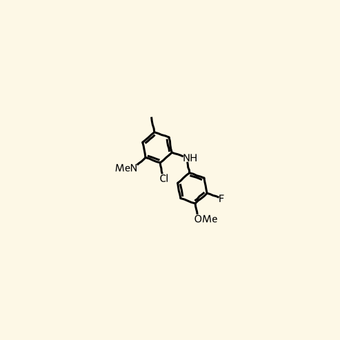 CNc1cc(C)cc(Nc2ccc(OC)c(F)c2)c1Cl